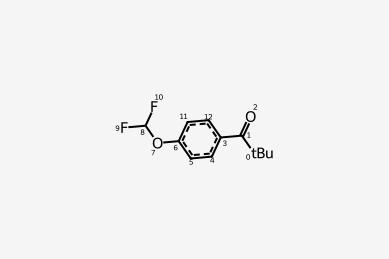 CC(C)(C)C(=O)c1ccc(OC(F)F)cc1